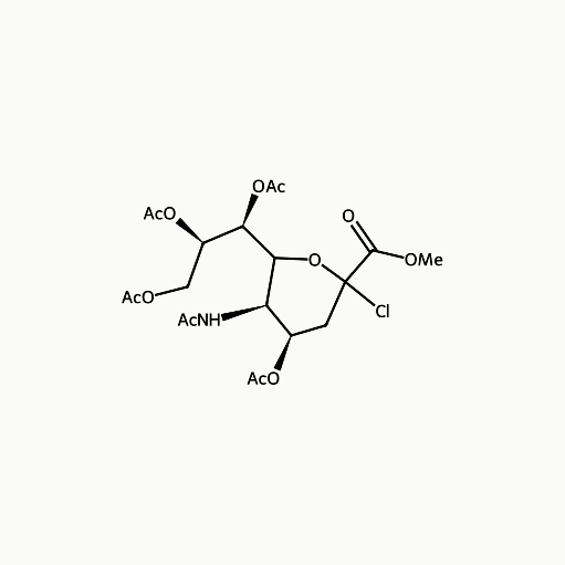 COC(=O)C1(Cl)C[C@@H](OC(C)=O)[C@@H](NC(C)=O)C([C@H](OC(C)=O)[C@@H](COC(C)=O)OC(C)=O)O1